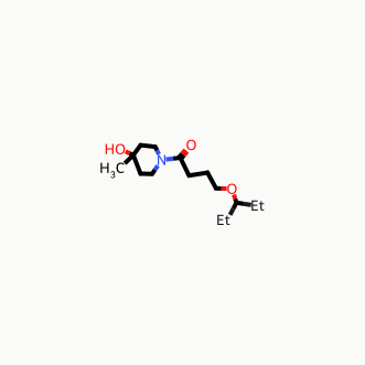 CCC(CC)OCCCC(=O)N1CCC(C)(O)CC1